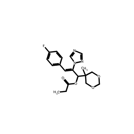 CCC(=O)OC(/C(=C/c1ccc(F)cc1)n1cncn1)C1(C)COCOC1